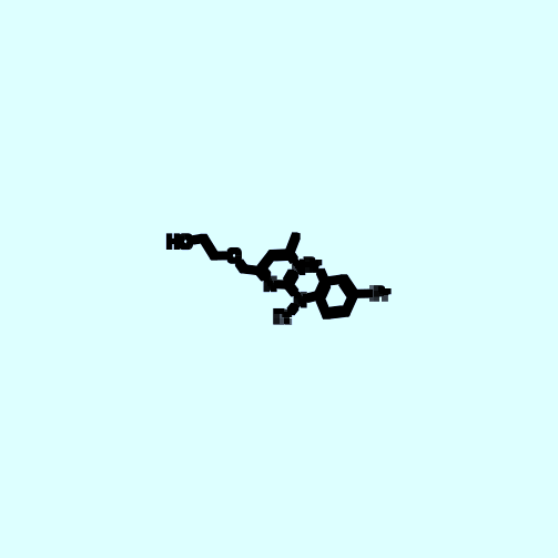 CCN(c1nc(C)cc(COCCO)n1)c1ccc(C(C)C)cc1Br